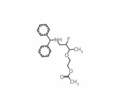 CC(=O)OCCOC(C)C(F)CNC(c1ccccc1)c1ccccc1